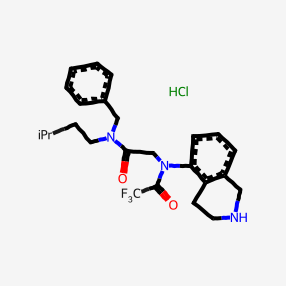 CC(C)CCN(Cc1ccccc1)C(=O)CN(C(=O)C(F)(F)F)c1cccc2c1CCNC2.Cl